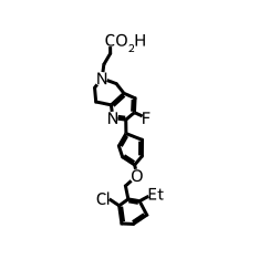 CCc1cccc(Cl)c1COc1ccc(-c2nc3c(cc2F)CN(CCC(=O)O)CC3)cc1